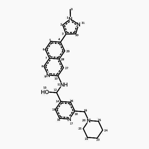 Cn1cc(-c2ccc3cnc(NC(O)c4ccnc(CN5CCCCC5)c4)cc3c2)cn1